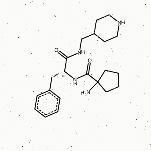 NC1(C(=O)N[C@H](Cc2ccccc2)C(=O)NCC2CCNCC2)CCCC1